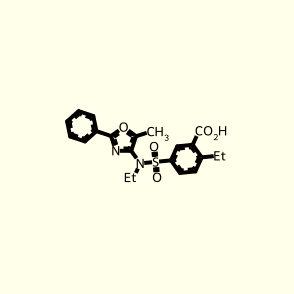 CCc1ccc(S(=O)(=O)N(CC)c2nc(-c3ccccc3)oc2C)cc1C(=O)O